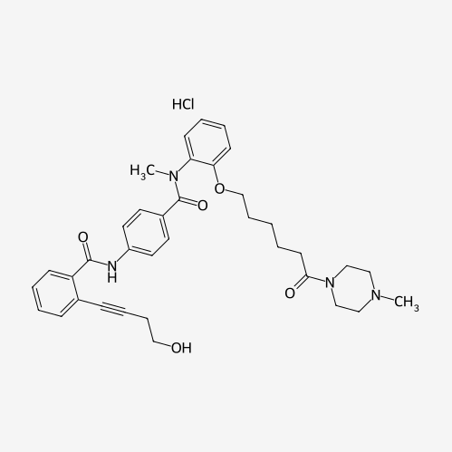 CN1CCN(C(=O)CCCCCOc2ccccc2N(C)C(=O)c2ccc(NC(=O)c3ccccc3C#CCCO)cc2)CC1.Cl